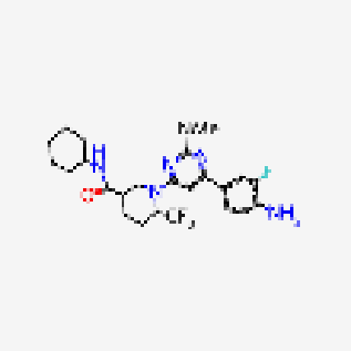 CNc1nc(-c2ccc(N)c(F)c2)cc(N2CC(C(=O)NC3CCCCC3)CCC2C(F)(F)F)n1